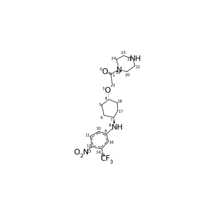 O=C(CO[C@H]1CC[C@H](Nc2ccc([N+](=O)[O-])c(C(F)(F)F)c2)CC1)N1CCNCC1